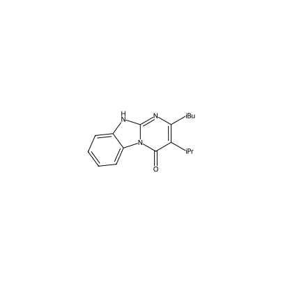 CCC(C)c1nc2[nH]c3ccccc3n2c(=O)c1C(C)C